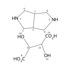 C1NCC2CNCC12.O=C(O)C(O)C(O)C(=O)O